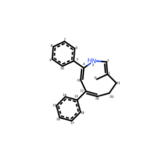 C/C1=C\N/C(c2ccccc2)=C\C(c2ccccc2)=C/CC1